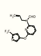 C=CCN(C=O)c1cccc(Oc2csc(C(F)(F)F)c2)n1